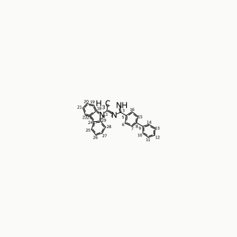 C/C(=N\C(=N)c1ccc(-c2ccccc2)cc1)n1c2ccccc2c2ccccc21